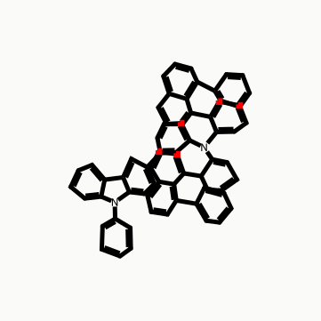 C1=CCC(c2cccc3cccc(-c4ccccc4)c23)C(N(c2cccc(-c3ccc4c(c3)c3ccccc3n4-c3ccccc3)c2)c2ccccc2-c2cccc3cccc(-c4ccccc4)c23)=C1